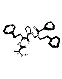 CN[C@@H](C)C(=O)N[C@@H](CCc1ccccc1)C(=O)N1CCC[C@H]1CN(CCc1ccccc1)C(=O)c1ccccc1